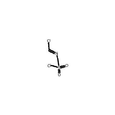 O=S(=O)(Cl)N=CCl